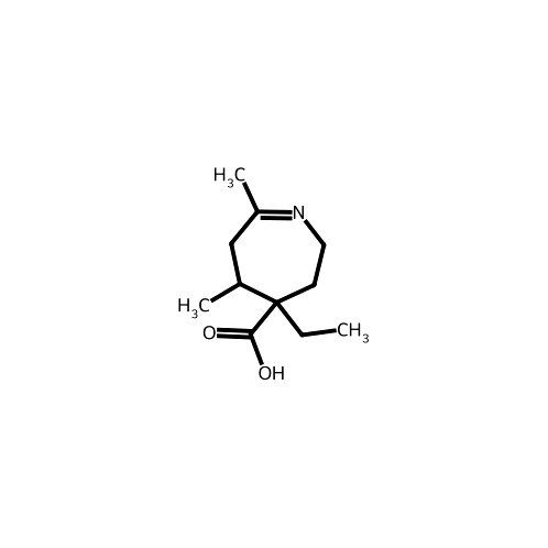 CCC1(C(=O)O)CCN=C(C)CC1C